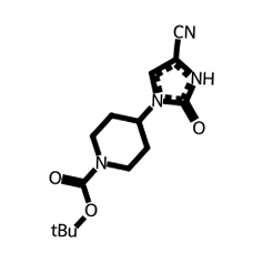 CC(C)(C)OC(=O)N1CCC(n2cc(C#N)[nH]c2=O)CC1